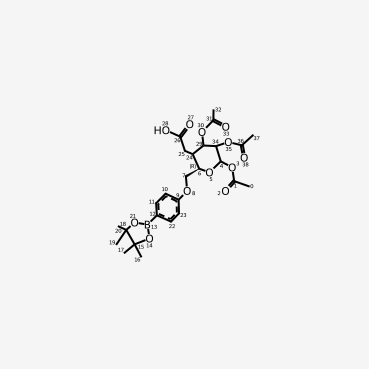 CC(=O)OC1O[C@@H](COc2ccc(B3OC(C)(C)C(C)(C)O3)cc2)C(CC(=O)O)C(OC(C)=O)C1OC(C)=O